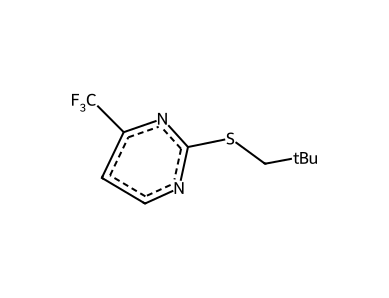 CC(C)(C)CSc1nccc(C(F)(F)F)n1